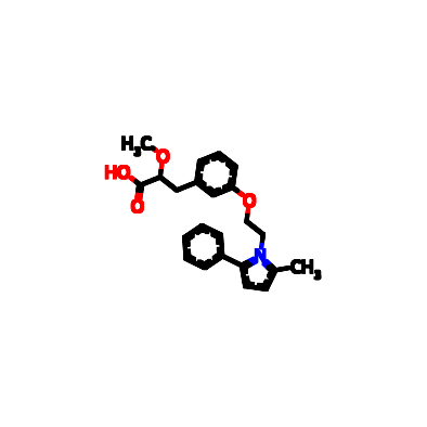 COC(Cc1cccc(OCCn2c(C)ccc2-c2ccccc2)c1)C(=O)O